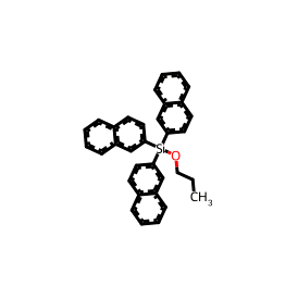 CCCO[Si](c1ccc2ccccc2c1)(c1ccc2ccccc2c1)c1ccc2ccccc2c1